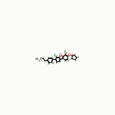 CCCc1ccc(-c2ccc3c(oc4c(F)c(OC5CCCC5)ccc43)c2F)cc1